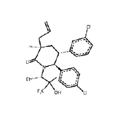 C=CC[C@@]1(C)C[C@H](c2cccc(Cl)c2)[C@@H](c2ccc(Cl)cc2)N([C@@H](CC)C(C)(O)C(F)(F)F)C1=O